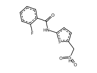 O=C(Nc1ccc(C[SH](=O)=O)s1)c1ccccc1F